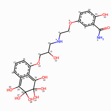 NC(=O)c1cc(OCCNCC(O)COc2cccc3c2=C(O)C(O)(O)C(O)(O)C=3O)ccc1O